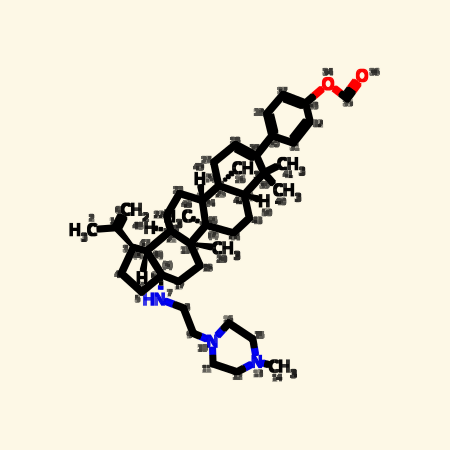 C=C(C)[C@@H]1CC[C@]2(NCCN3CCN(C)CC3)CC[C@]3(C)[C@H](CC[C@@H]4[C@@]5(C)CC=C(c6ccc(OC=O)cc6)C(C)(C)[C@@H]5CC[C@]43C)[C@@H]12